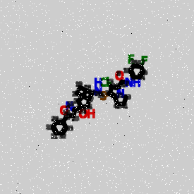 O=C(Nc1ccc(F)c(F)c1)c1c(Cl)c(SNC2C3CCC34CC(O)(c3cc(-c5ccccc5)on3)CC24)c2n1CCC2